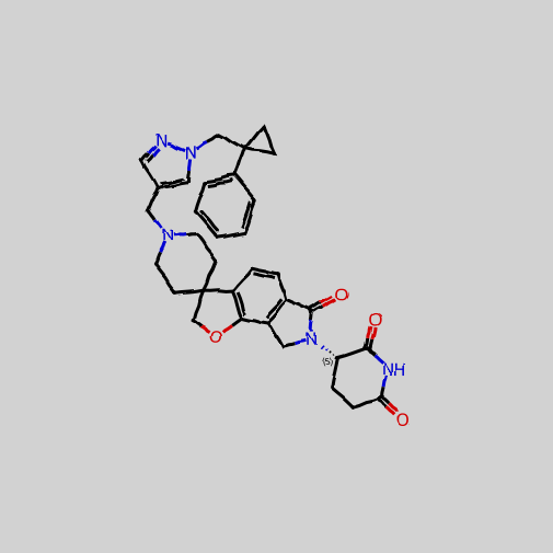 O=C1CC[C@H](N2Cc3c(ccc4c3OCC43CCN(Cc4cnn(CC5(c6ccccc6)CC5)c4)CC3)C2=O)C(=O)N1